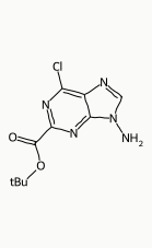 CC(C)(C)OC(=O)c1nc(Cl)c2ncn(N)c2n1